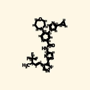 C[C@H](/C=C/n1cnnc1-c1nc(NC(=O)c2cc(-n3cnc(C4CC4)c3)c(N3CCCOCC3)cn2)cs1)C(F)(F)F